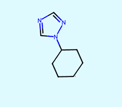 [CH]1CCC(n2cncn2)CC1